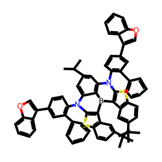 CC(C)c1cc2c3c(c1)N(c1ccc(-c4coc5ccccc45)cc1-c1ccccc1)c1sc4ccc(C(C)(C)C)cc4c1B3c1c(sc3ccc(C(C)(C)C)cc13)N2c1ccc(-c2coc3ccccc23)cc1-c1ccccc1